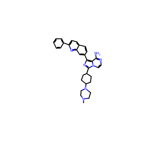 CN1CCN(C2CCC(c3nc(-c4ccc5ccc(-c6ccccc6)nc5c4)c4c(N)nccn34)CC2)CC1